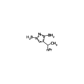 Bc1nn(B)cc1C(C)CCC